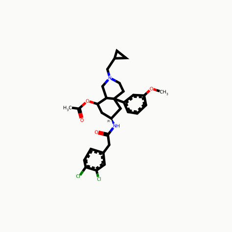 COc1cccc(C23CCN(CC4CC4)CC2C(OC(C)=O)C[C@H](NC(=O)Cc2ccc(Cl)c(Cl)c2)C3)c1